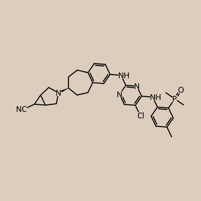 Cc1ccc(Nc2nc(Nc3ccc4c(c3)CC[C@@H](N3CC5C(C#N)C5C3)CC4)ncc2Cl)c(P(C)(C)=O)c1